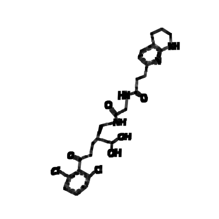 O=C(CCc1ccc2c(n1)NCCC2)NCC(=O)NC[C@H](CCC(=O)c1c(Cl)cccc1Cl)C(O)O